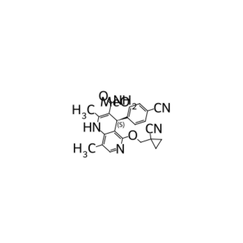 COc1cc(C#N)ccc1[C@@H]1C(C(N)=O)=C(C)Nc2c(C)cnc(OCC3(C#N)CC3)c21